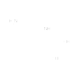 CC(C)C1CCC(N)CN1